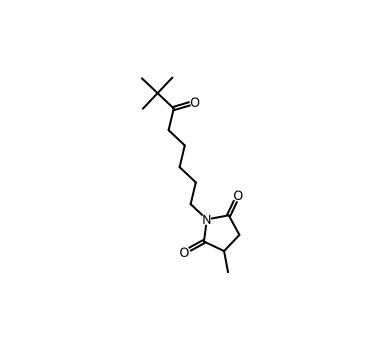 CC1CC(=O)N(CCCCCC(=O)C(C)(C)C)C1=O